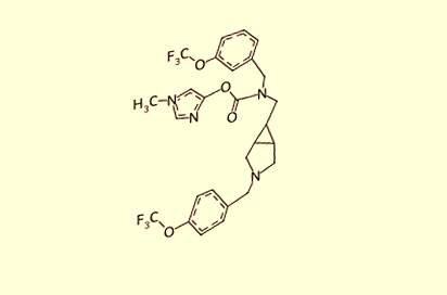 Cn1cnc(OC(=O)N(Cc2cccc(OC(F)(F)F)c2)CC2C3CN(Cc4ccc(OC(F)(F)F)cc4)CC32)c1